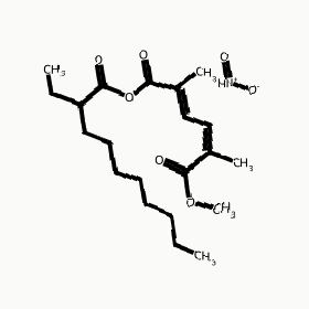 CCCCCCCCC(CC)C(=O)OC(=O)C(C)=CC=C(C)C(=O)OC.O=[NH+][O-]